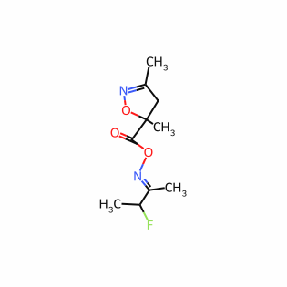 CC1=NOC(C)(C(=O)O/N=C(\C)C(C)F)C1